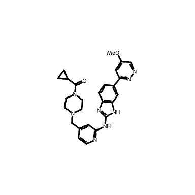 COc1cnnc(-c2ccc3nc(Nc4cc(CN5CCN(C(=O)C6CC6)CC5)ccn4)[nH]c3c2)c1